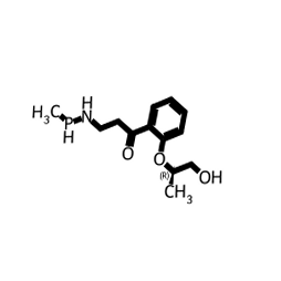 CPNCCC(=O)c1ccccc1O[C@H](C)CO